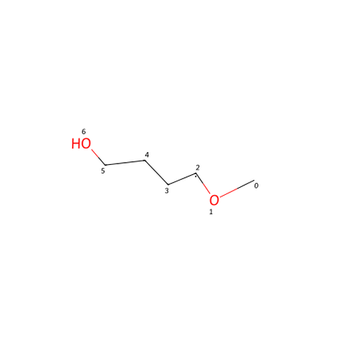 CO[CH]CCCO